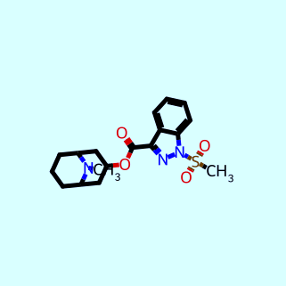 CN1C2CCCC1CC(OC(=O)c1nn(S(C)(=O)=O)c3ccccc13)C2